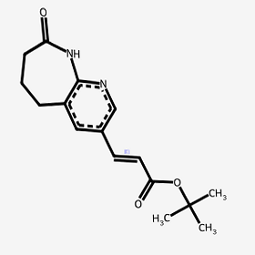 CC(C)(C)OC(=O)/C=C/c1cnc2c(c1)CCCC(=O)N2